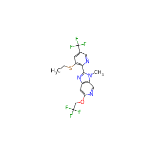 CCSc1cc(C(F)(F)F)cnc1-c1nc2cc(OCC(F)(F)F)ncc2n1C